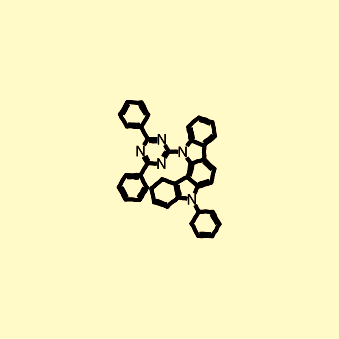 C1=CCC(n2c3c(c4c2ccc2c5ccccc5n(-c5nc(-c6ccccc6)nc(-c6ccccc6)n5)c24)CCC=C3)C=C1